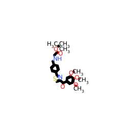 COc1cc(C(=O)c2csc(-c3ccc(CNCC(=O)OC(C)(C)C)cc3)n2)cc(OC)c1OC